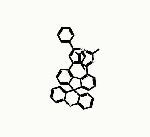 Cc1nc(C)nc(-c2cccc3c2-c2c(-c4cc(-c5ccccc5)ncc4C)cccc2C32c3ccccc3Sc3ccccc32)n1